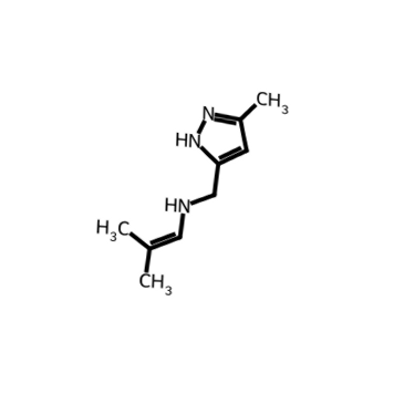 CC(C)=CNCc1cc(C)n[nH]1